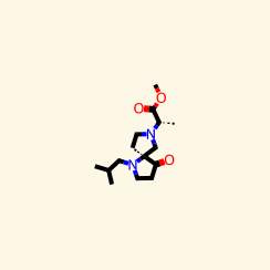 COC(=O)[C@H](C)N1CC[C@]2(C1)C(=O)CCN2CC(C)C